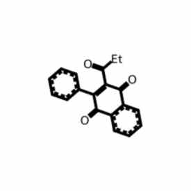 CCC(=O)C1=C(c2ccccc2)C(=O)c2ccccc2C1=O